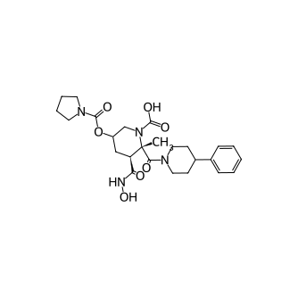 C[C@@]1(C(=O)N2CCC(c3ccccc3)CC2)[C@@H](C(=O)NO)CC(OC(=O)N2CCCC2)CN1C(=O)O